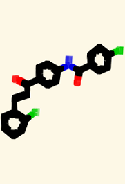 O=C(/C=C/c1ccccc1Cl)c1ccc(NC(=O)c2ccc(Cl)cc2)cc1